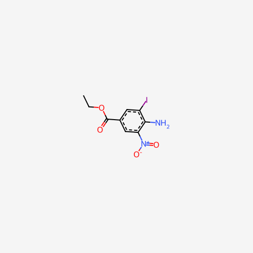 CCOC(=O)c1cc(I)c(N)c([N+](=O)[O-])c1